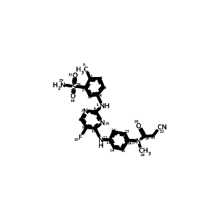 Cc1ccc(Nc2ncc(F)c(Nc3ccc(N(C)C(=O)CC#N)cc3)n2)cc1S(N)(=O)=O